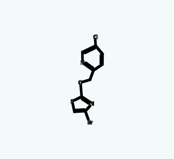 Clc1ccc(COc2nc(Br)cs2)nc1